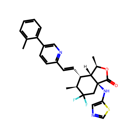 Cc1ccccc1-c1ccc(/C=C/[C@@H]2[C@@H]3[C@@H](C)OC(=O)[C@]3(Nc3cncs3)CC(F)(F)[C@H]2C)nc1